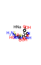 Nc1nc(C(=NO)C(=O)N[C@@H]2C(=O)N3C(C(=O)O)=C(C(=C4CCNC4=O)C(Cc4ccc(C(=O)O)cc4)c4ccncc4)CS[C@H]23)cs1.[NaH]